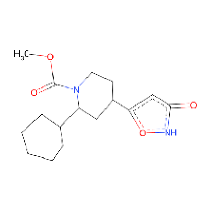 COC(=O)N1CCC(c2cc(=O)[nH]o2)CC1C1CCCCC1